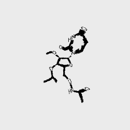 CO[C@@H]1[C@H](OC(C)C)C(CONC(C)=O)O[C@H]1n1ccc(=O)[nH]c1=O